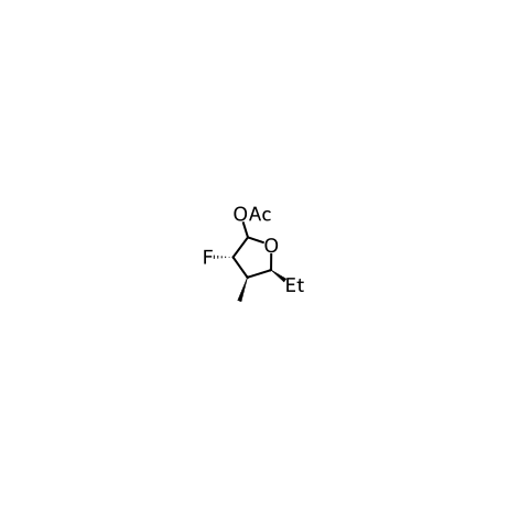 CC[C@@H]1OC(OC(C)=O)[C@@H](F)[C@@H]1C